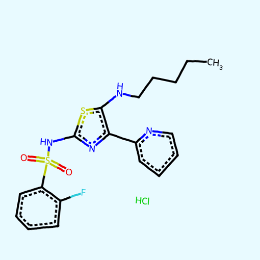 CCCCCNc1sc(NS(=O)(=O)c2ccccc2F)nc1-c1ccccn1.Cl